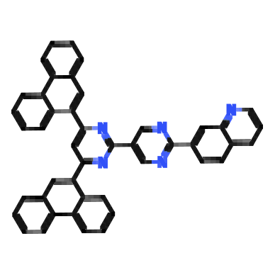 c1cnc2cc(-c3ncc(-c4nc(-c5cc6ccccc6c6ccccc56)cc(-c5cc6ccccc6c6ccccc56)n4)cn3)ccc2c1